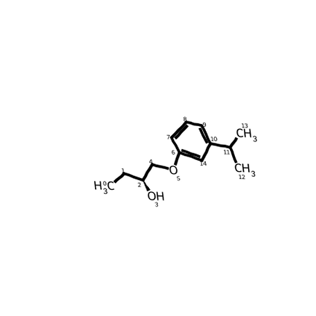 CC[C@H](O)COc1cccc(C(C)C)c1